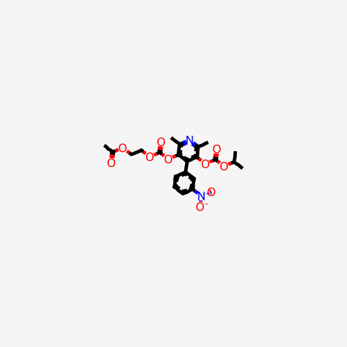 CC(=O)OCCOC(=O)Oc1c(C)nc(C)c(OC(=O)OC(C)C)c1-c1cccc([N+](=O)[O-])c1